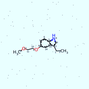 CCc1c[nH]c2ccc(OCCOC)cc12